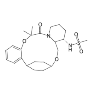 CC1(C)Oc2ccccc2C2CCC(CC2)OCC2[C@@H](NS(C)(=O)=O)CCCN2C1=O